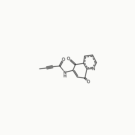 CC#CC(=O)NC1=CC(=O)c2ncccc2C1=O